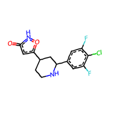 O=c1cc(C2CCNC(c3cc(F)c(Cl)c(F)c3)C2)o[nH]1